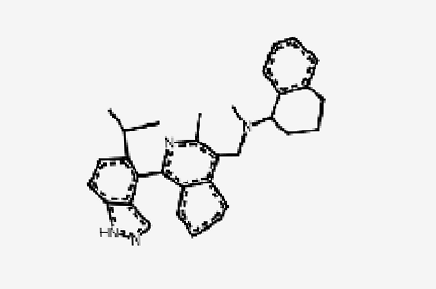 Cc1nc(-c2c(C(C)C)ccc3[nH]ncc23)c2ccccc2c1CN(C)C1CCCc2ccccc21